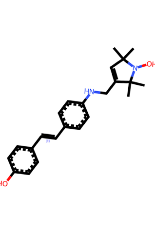 CC1(C)C=C(CNc2ccc(/C=C/c3ccc(O)cc3)cc2)C(C)(C)N1O